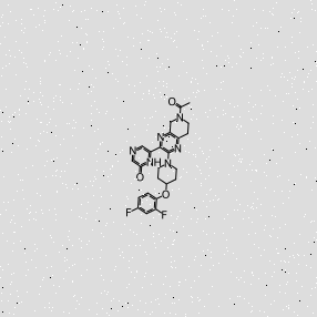 CC(=O)N1CCc2nc(N3CCC(Oc4ccc(F)cc4F)CC3)c(-c3cncc(=O)[nH]3)nc2C1